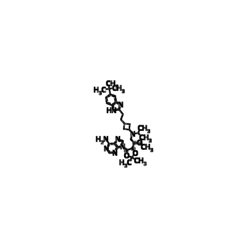 CO[C@H](CN(C(C)C)C1CC(CCc2nc3cc(C(C)(C)C)ccc3[nH]2)C1)[C@H]1OC(C)(C)O[C@H]1n1cnc2c(N)ncnc21